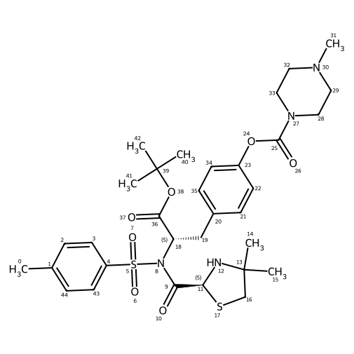 Cc1ccc(S(=O)(=O)N(C(=O)[C@H]2NC(C)(C)CS2)[C@@H](Cc2ccc(OC(=O)N3CCN(C)CC3)cc2)C(=O)OC(C)(C)C)cc1